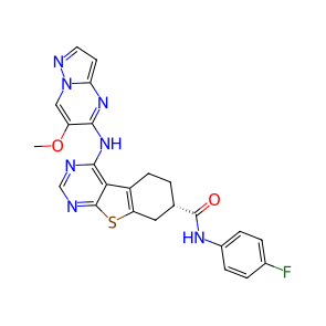 COc1cn2nccc2nc1Nc1ncnc2sc3c(c12)CC[C@H](C(=O)Nc1ccc(F)cc1)C3